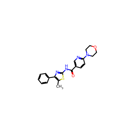 Cc1sc(NC(=O)c2ccc(N3CCOCC3)nc2)nc1-c1ccccc1